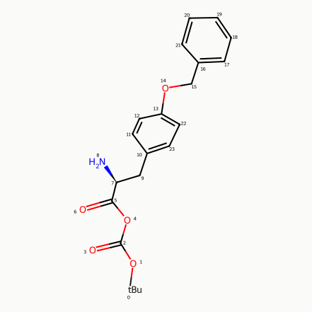 CC(C)(C)OC(=O)OC(=O)[C@@H](N)Cc1ccc(OCc2ccccc2)cc1